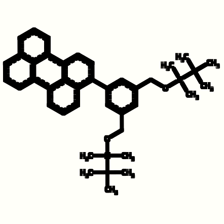 CC(C)(C)[Si](C)(C)OCc1cc(CO[Si](C)(C)C(C)(C)C)cc(-c2ccc3c4cccc5cccc(c6cccc2c63)c54)c1